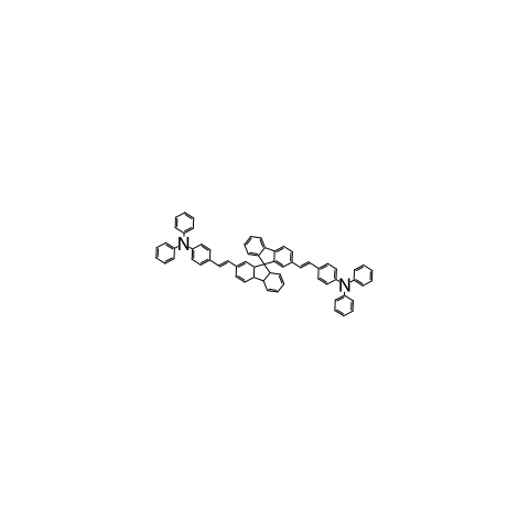 C1=CC2C3C=CC(/C=C/c4ccc(N(c5ccccc5)c5ccccc5)cc4)=CC3C3(c4ccccc4-c4ccc(/C=C/c5ccc(N(c6ccccc6)c6ccccc6)cc5)cc43)C2C=C1